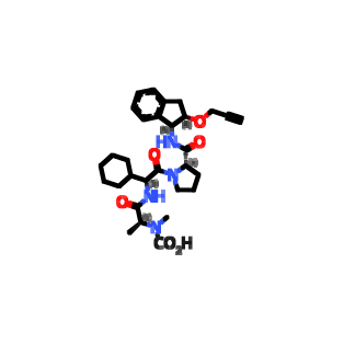 C#CCO[C@@H]1Cc2ccccc2[C@@H]1NC(=O)[C@@H]1CCCN1C(=O)[C@@H](NC(=O)[C@H](C)N(C)C(=O)O)C1CCCCC1